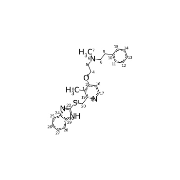 Cc1c(OCCN(C)CCc2ccccc2)ccnc1CSc1nc2ccccc2[nH]1